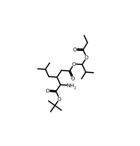 CCC(=O)OC(OC(=O)CC(CC(C)C)C(N)C(=O)OC(C)(C)C)C(C)C